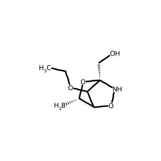 B[C@@H]1O[C@@]2(CO)NOC1C2OCC